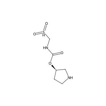 O=C(NC[SH](=O)=O)O[C@@H]1CCNC1